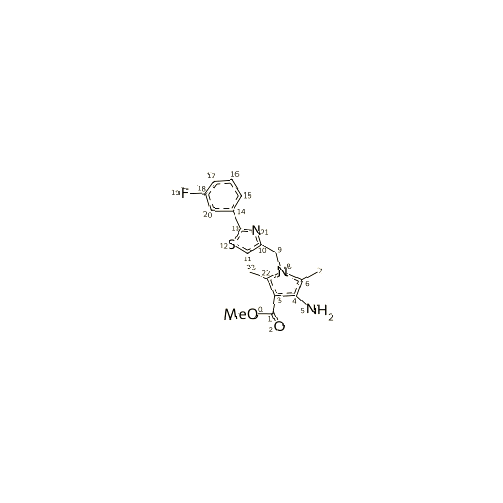 COC(=O)c1c(N)c(C)n(Cc2csc(-c3cccc(F)c3)n2)c1C